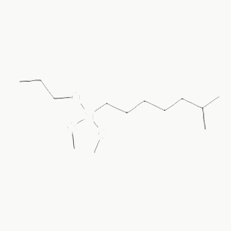 CCCO[Si](CCCCCC(C)C)(OC)OC